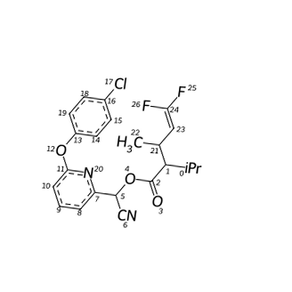 CC(C)C(C(=O)OC(C#N)c1cccc(Oc2ccc(Cl)cc2)n1)C(C)C=C(F)F